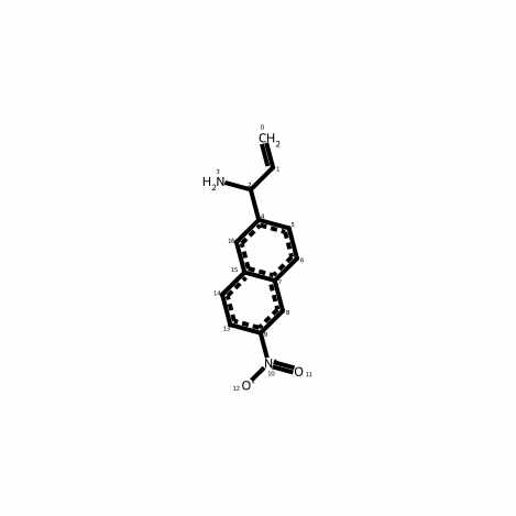 C=CC(N)c1ccc2cc([N+](=O)[O-])ccc2c1